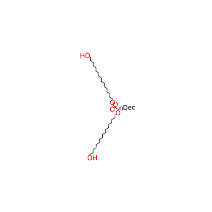 CCCCCCCCCCC(OCCCCCCCCCCCCCCCCCO)C(=O)OOCCCCCCCCCCCCCCCCCO